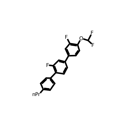 CCCc1ccc(-c2ccc(-c3ccc(OC(F)F)c(F)c3)cc2F)cc1